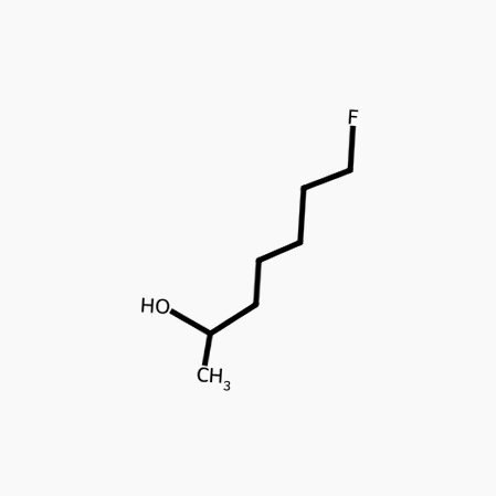 CC(O)CCCCCF